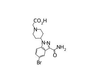 NC(=O)c1nn(C2CCN(CC(=O)O)CC2)c2ccc(Br)cc12